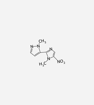 Cn1nccc1-c1ncc([N+](=O)[O-])n1C